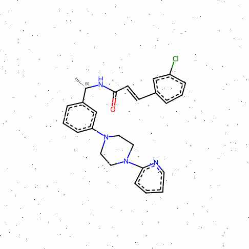 C[C@H](NC(=O)C=Cc1cccc(Cl)c1)c1cccc(N2CCN(c3ccccn3)CC2)c1